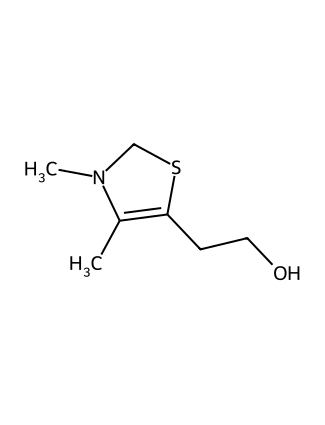 CC1=C(CCO)SCN1C